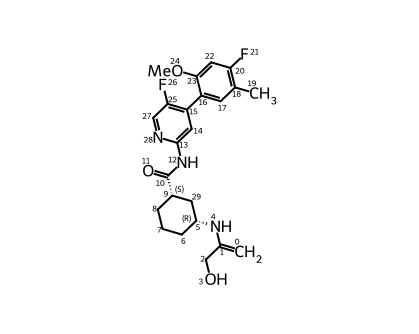 C=C(CO)N[C@@H]1CCC[C@H](C(=O)Nc2cc(-c3cc(C)c(F)cc3OC)c(F)cn2)C1